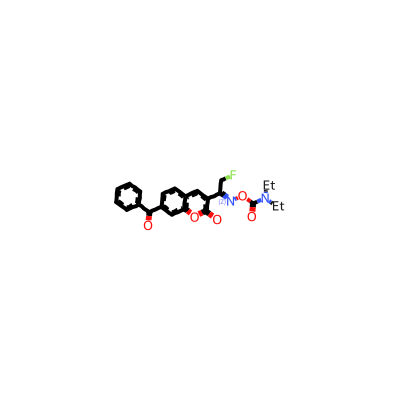 CCN(CC)C(=O)O/N=C(\CF)c1cc2ccc(C(=O)c3ccccc3)cc2oc1=O